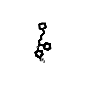 FC(F)(F)c1ccc(OC(CCCCN2CCCCC2)c2ccccc2)cc1